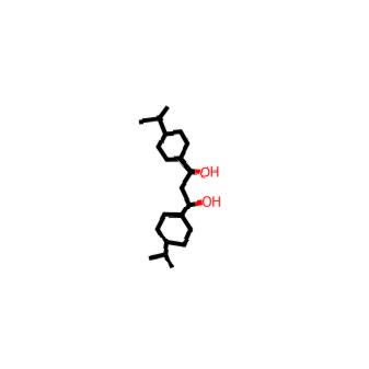 CC(C)C1CCC(C(O)CC(O)C2CCC(C(C)C)CC2)CC1